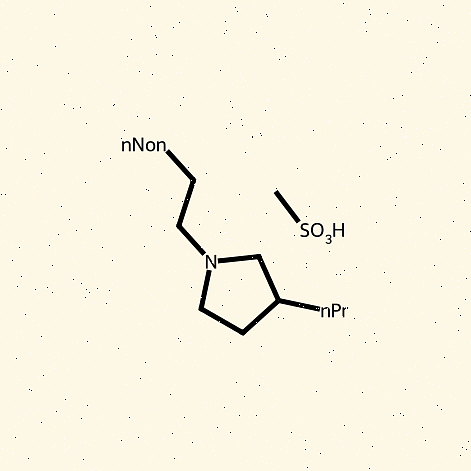 CCCCCCCCCCCN1CCC(CCC)C1.CS(=O)(=O)O